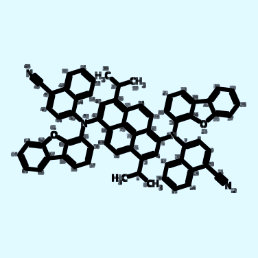 CC(C)c1cc(N(c2ccc(C#N)c3ccccc23)c2cccc3c2oc2ccccc23)c2ccc3c(C(C)C)cc(N(c4ccc(C#N)c5ccccc45)c4cccc5c4oc4ccccc45)c4ccc1c2c34